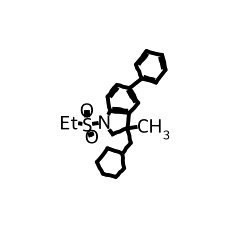 CCS(=O)(=O)N1CC(C)(CC2CCCCC2)c2cc(-c3ccccc3)ccc21